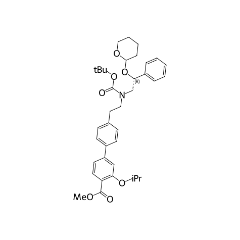 COC(=O)c1ccc(-c2ccc(CCN(C[C@H](OC3CCCCO3)c3ccccc3)C(=O)OC(C)(C)C)cc2)cc1OC(C)C